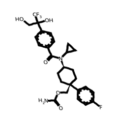 NC(=O)OC[C@]1(c2ccc(F)cc2)CC[C@H](N(C(=O)c2ccc(C(O)(CO)C(F)(F)F)cc2)C2CC2)CC1